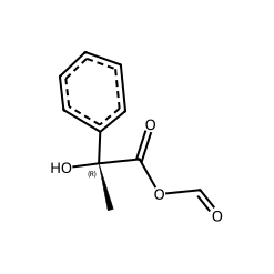 C[C@](O)(C(=O)OC=O)c1ccccc1